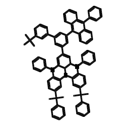 CC(C)(C)c1cccc(-c2cc(C3=CC4C5B(c6cc(C(C)(C)c7ccccc7)ccc6N(c6ccccc6)C5=C3)c3cc(C(C)(C)c5ccccc5)ccc3N4c3ccccc3)cc(-c3c4ccccc4c(-c4ccccc4)c4ccccc34)c2)c1